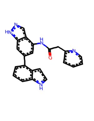 O=C(Cc1ccccn1)Nc1cc(-c2cccc3[nH]ccc23)cc2[nH]ncc12